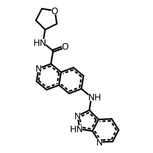 O=C(NC1CCOC1)c1nccc2cc(Nc3n[nH]c4ncccc34)ccc12